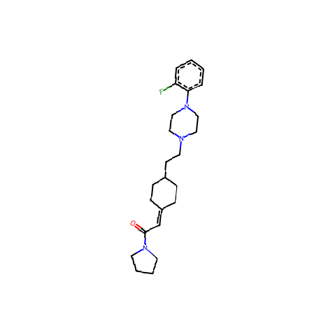 O=C(C=C1CCC(CCN2CCN(c3ccccc3F)CC2)CC1)N1CCCC1